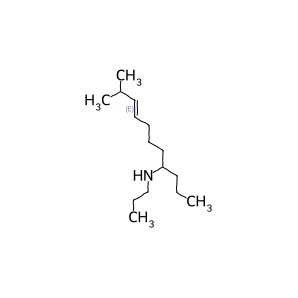 CCCNC(CCC)CCC/C=C/C(C)C